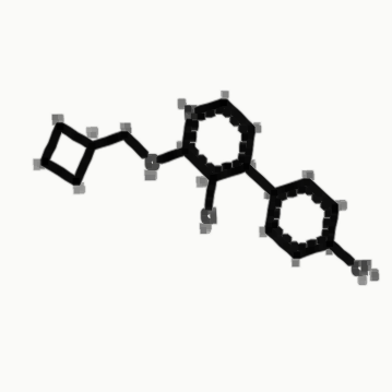 FC(F)(F)c1ccc(-c2ccnc(OCC3CCC3)c2Cl)cc1